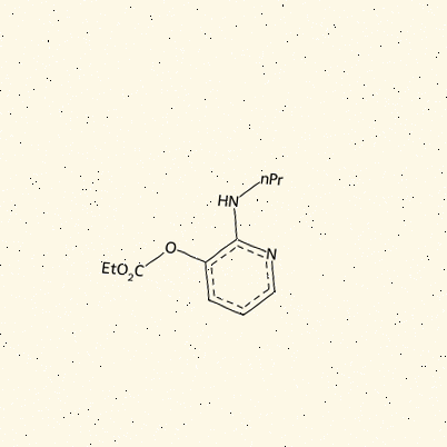 CCCNc1ncccc1OC(=O)OCC